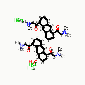 CCN(CC)CC(=O)c1cccc2cc3c(C(=O)CN(CC)CC)cccc3cc12.CCN(CC)CC(=O)c1cccc2cc3c(C(=O)CN(CC)CC)cccc3cc12.Cl.Cl.Cl.Cl.O